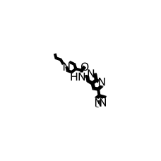 CCCCN1CCC(C(=O)Nc2cc3cc(-c4cnn(C)c4)cnc3cn2)CC1